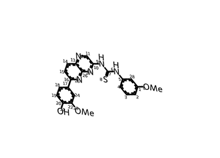 COc1cccc(NC(=S)Nc2cnc3ccc(-c4ccc(O)c(OC)c4)nc3n2)c1